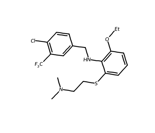 CCOc1cccc(SCCN(C)C)c1NCc1ccc(Cl)c(C(F)(F)F)c1